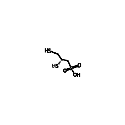 O=S(=O)(O)C[C@H](S)CS